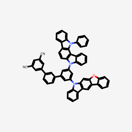 N#Cc1cc(C#N)cc(-c2cccc(-c3cc(-n4c5ccccc5c5cc6c(cc54)oc4ccccc46)cc(-n4c5ccccc5c5c4ccc4c6ccccc6n(-c6ccccc6)c45)c3)c2)c1